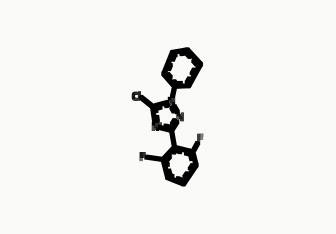 Fc1cccc(F)c1-c1nc(Cl)n(-c2ccccc2)n1